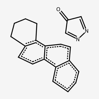 O=C1C=NN=C1.c1ccc2c(c1)ccc1c3c(ccc12)CCCC3